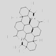 CC(C)C1CCC2C3=C1C1=CC4C(C)(C(=O)O)CCCC4(C)C4CCC(C(C)C)C(C3CC3C(C)(C(=O)O)CCCC23C)C14